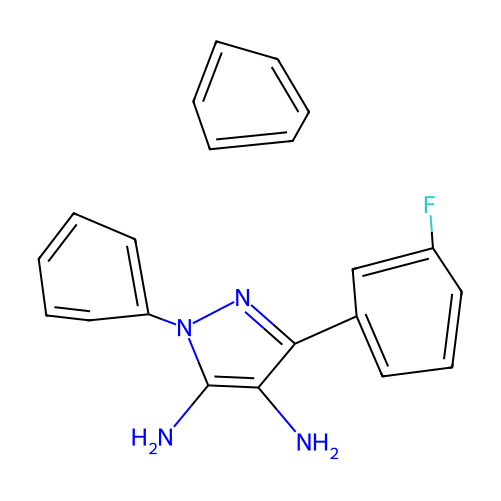 Nc1c(-c2cccc(F)c2)nn(-c2ccccc2)c1N.c1ccccc1